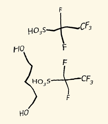 O=S(=O)(O)C(F)(F)C(F)(F)F.O=S(=O)(O)C(F)(F)C(F)(F)F.OCCCO